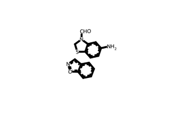 Nc1ccc2c(c1)N(C=O)CS2.c1ccc2oncc2c1